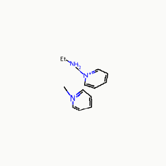 CCN.C[n+]1ccccc1.C[n+]1ccccc1